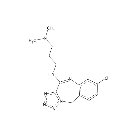 CN(C)CCCNC1=Nc2cc(Cl)ccc2Cn2nnnc21